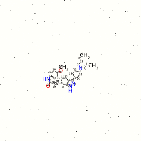 C=CCCN(CCC)c1ccc(-c2n[nH]c3cc([C@@H]4C[C@@]45C(=O)Nc4ccc(OC)cc45)ccc23)cc1